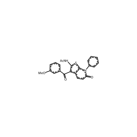 COc1cccc(C(=O)c2c(NC(C)=O)sc3c2ccc(=O)n3-c2ccccc2)c1